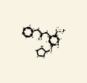 O=C(Cc1ccccc1)Cc1cc(OC2CCCC2)ncc1C(=O)O